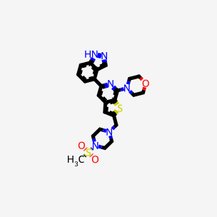 CS(=O)(=O)N1CCN(Cc2cc3cc(-c4cccc5[nH]ncc45)nc(N4CCOCC4)c3s2)CC1